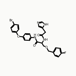 O=C(Cc1cnc[nH]1)NC(COCc1ccc(F)cc1)C(=O)Nc1ccc(Oc2ccc(Br)cc2)cc1